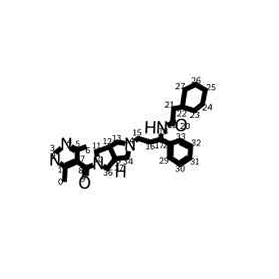 Cc1ncnc(C)c1C(=O)N1CC2CN(CCC(NC(=O)CC3CCCCC3)c3ccccc3)C[C@H]2C1